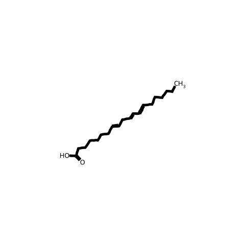 CCCCCCC=CC=CCC=CCCCCCCC(=O)O